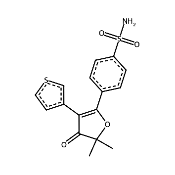 CC1(C)OC(c2ccc(S(N)(=O)=O)cc2)=C(c2ccsc2)C1=O